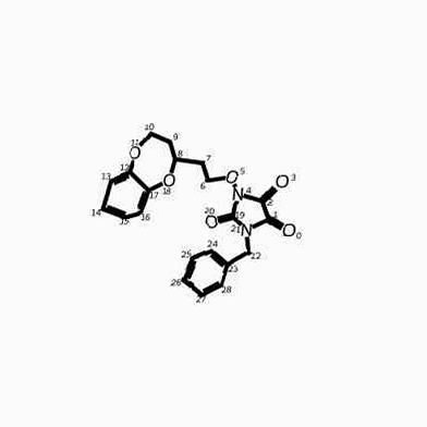 O=C1C(=O)N(OCCC2CCOc3ccccc3O2)C(=O)N1Cc1ccccc1